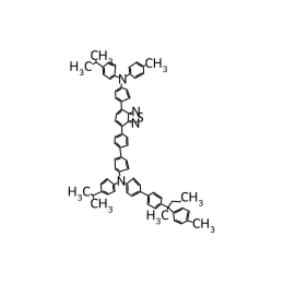 CCCC(C)(c1ccc(C)cc1)c1ccc(-c2ccc(N(c3ccc(-c4ccc(-c5ccc(-c6ccc(N(c7ccc(C)cc7)c7ccc(C(C)C)cc7)cc6)c6nsnc56)cc4)cc3)c3ccc(C(C)C)cc3)cc2)cc1